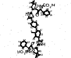 Cc1c(-c2ccc(-c3c[nH]c([C@@H]4CC5(CC5)CN4C(=O)[C@H](NC(=O)O)c4ccccc4)n3)cc2)ccc(-c2c[nH]c([C@@H]3CC4(CC4)CN3C(=O)[C@H](NC(=O)O)c3ccccc3)n2)c1C